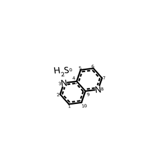 S.c1cnc2cccnc2c1